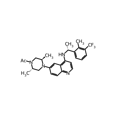 CC(=O)N1C[C@@H](C)N(c2ccc3nccc(N[C@H](C)c4cccc(C(F)(F)F)c4C)c3c2)C[C@@H]1C